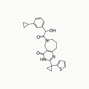 O=C(C(O)c1cccc(C2CC2)c1)N1CCCc2nc(C3(c4cccs4)CC3)[nH]c(=O)c2C1